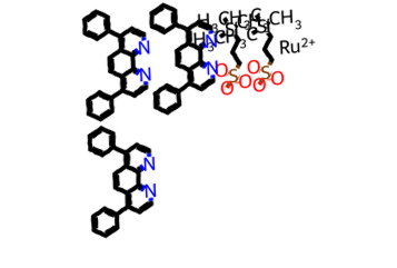 C[Si](C)(C)CCCS(=O)(=O)[O-].C[Si](C)(C)CCCS(=O)(=O)[O-].[Ru+2].c1ccc(-c2ccnc3c2ccc2c(-c4ccccc4)ccnc23)cc1.c1ccc(-c2ccnc3c2ccc2c(-c4ccccc4)ccnc23)cc1.c1ccc(-c2ccnc3c2ccc2c(-c4ccccc4)ccnc23)cc1